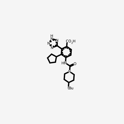 CC(C)(C)C1CCN(C(=O)Nc2ccc(C(=O)O)c(-c3nn[nH]n3)c2C2CCCC2)CC1